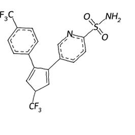 NS(=O)(=O)c1ccc(C2=CC(C(F)(F)F)C=C2c2ccc(C(F)(F)F)cc2)cn1